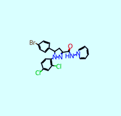 O=C(NN1C=CC=CC=C1)C1=NN(c2ccc(Cl)cc2Cl)C(c2ccc(Br)cc2)C1